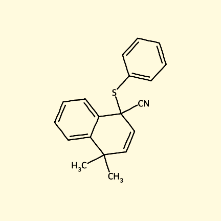 CC1(C)C=CC(C#N)(Sc2ccccc2)c2ccccc21